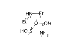 CCNCC.N.O=S(=O)(O)OO